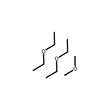 CCOCC.CCOCC.COC